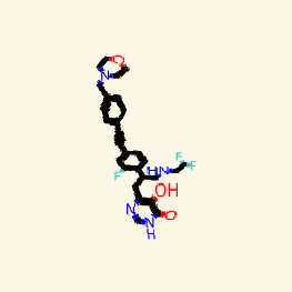 O=c1[nH]cnc(CC(CNCC(F)F)c2ccc(C#Cc3ccc(CN4CCOCC4)cc3)cc2F)c1O